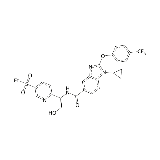 CCS(=O)(=O)c1ccc([C@H](CO)NC(=O)c2ccc3c(c2)nc(Oc2ccc(C(F)(F)F)cc2)n3C2CC2)nc1